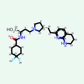 O=C(N[C@H](CCN1CC[C@H](CCc2ccc3c(n2)NCCC3)C1)C(=O)O)C1CCC(F)(F)CC1